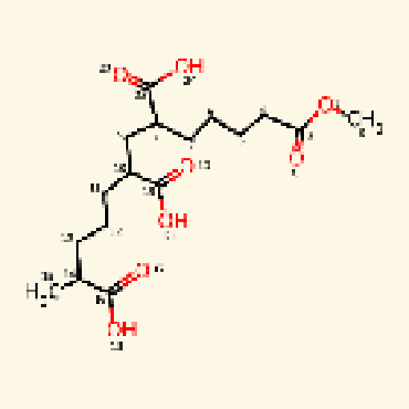 COC(=O)CCCCC(CC(CCCC(C)C(=O)O)C(=O)O)C(=O)O